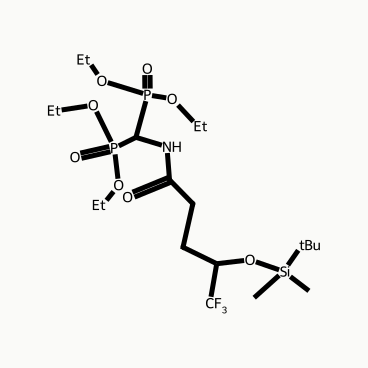 CCOP(=O)(OCC)C(NC(=O)CCC(O[Si](C)(C)C(C)(C)C)C(F)(F)F)P(=O)(OCC)OCC